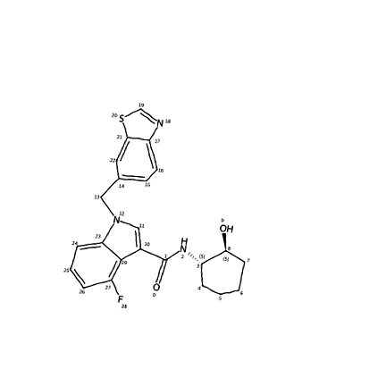 O=C(N[C@H]1CCCC[C@@H]1O)c1cn(Cc2ccc3ncsc3c2)c2cccc(F)c12